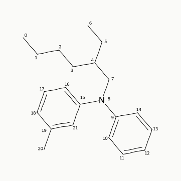 CCCCC(CC)CN(c1ccccc1)c1cccc(C)c1